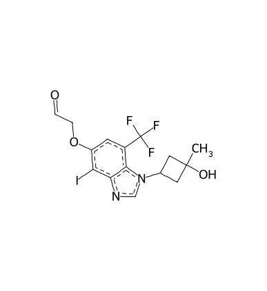 CC1(O)CC(n2cnc3c(I)c(OCC=O)cc(C(F)(F)F)c32)C1